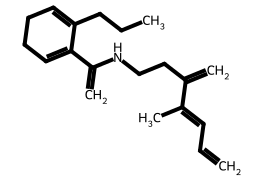 C=C/C=C(\C)C(=C)CCNC(=C)C1=CCCC=C1CCC